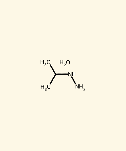 CC(C)NN.O